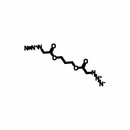 [N-]=[N+]=NCC(=O)OCCCOC(=O)CN=[N+]=[N-]